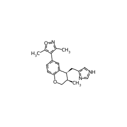 Cc1noc(C)c1-c1ccc2c(c1)[C@@H](Cc1c[nH]cn1)[C@@H](C)CO2